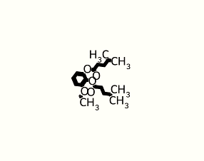 CCOc1cccc(OC(=O)CCC(C)C)c1OC(=O)CCC(C)C